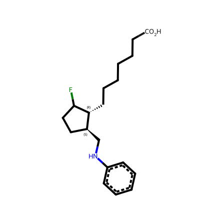 O=C(O)CCCCCC[C@H]1C(F)CC[C@@H]1CNc1ccccc1